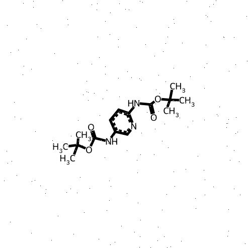 CC(C)(C)OC(=O)Nc1ccc(NC(=O)OC(C)(C)C)nc1